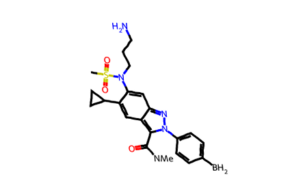 Bc1ccc(-n2nc3cc(N(CCCN)S(C)(=O)=O)c(C4CC4)cc3c2C(=O)NC)cc1